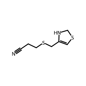 N#CCCSCC1=CSCN1